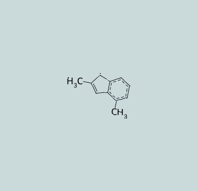 CC1=Cc2c(C)cccc2[CH]1